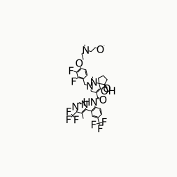 COCCN(C)CCOc1ccc(CN2CC(C(=O)Nc3ccc(C(F)(F)F)cc3-c3ncnc(C(F)(F)F)c3C)=C(O)C3(CCCC3=O)N2C)c(F)c1F